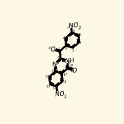 O=C(c1cccc([N+](=O)[O-])c1)c1nc2ccc([N+](=O)[O-])cc2c(=O)[nH]1